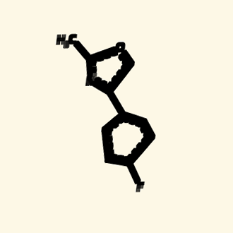 Cc1nc(-c2ccc(F)cc2)co1